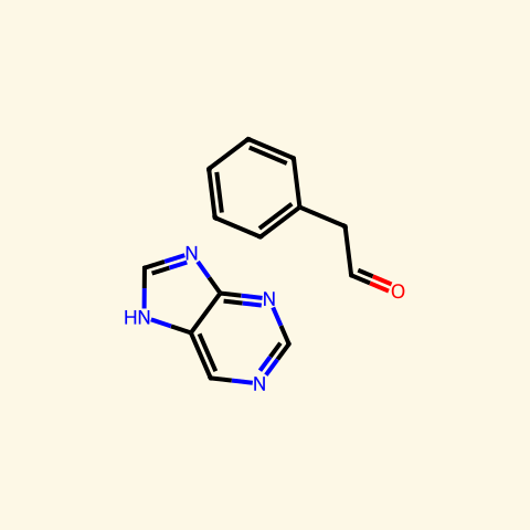 O=CCc1ccccc1.c1ncc2[nH]cnc2n1